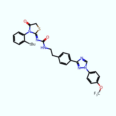 CC(C)(C)c1ccccc1N1C(=O)CS/C1=N\C(=O)NCCc1ccc(-c2ncn(-c3ccc(OC(F)(F)F)cc3)n2)cc1